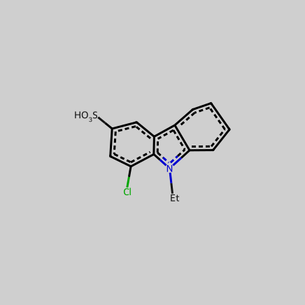 CCn1c2ccccc2c2cc(S(=O)(=O)O)cc(Cl)c21